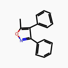 Cc1onc(-c2ccccc2)c1-c1cc[c]cc1